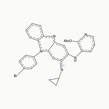 COc1ncccc1Nc1cc2nc3ccccc3n(-c3ccc(Br)cc3)c-2c/c1=N\C1CC1